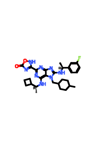 CC1CCC(Cn2c(N[C@@H](C)c3cccc(F)c3)nc3nc(-c4nc(=O)o[nH]4)nc(N[C@H](C)C4CCC4)c32)CC1